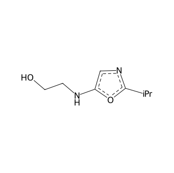 CC(C)c1ncc(NCCO)o1